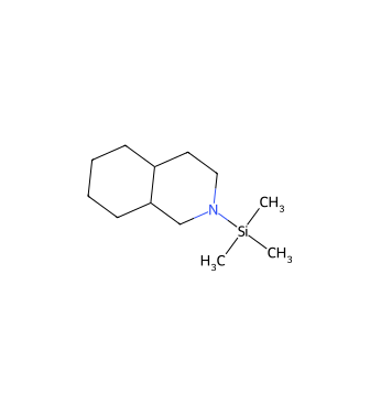 C[Si](C)(C)N1CCC2CCCCC2C1